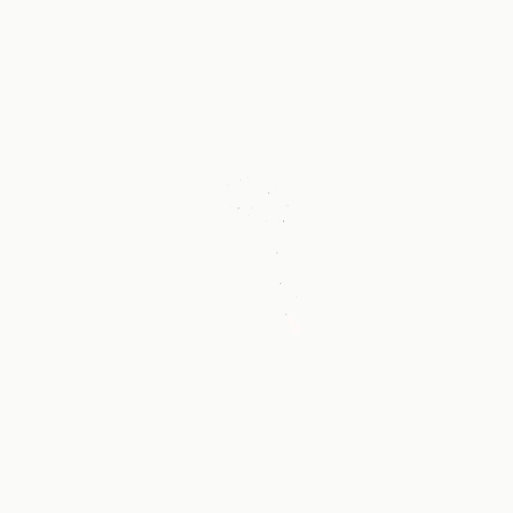 O=C(Cl)CCCCCc1ccc2ccccc2c1